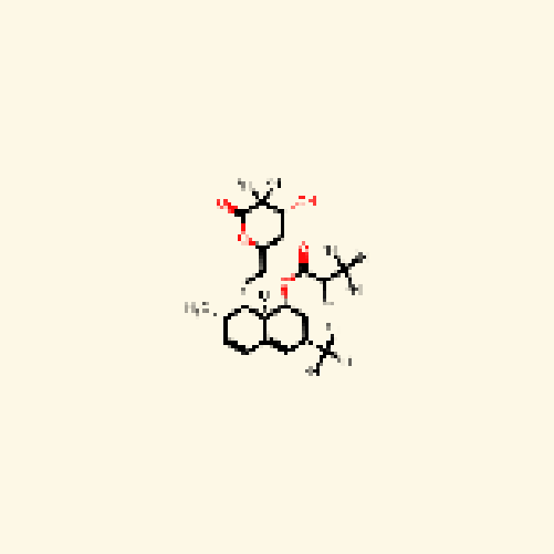 [2H]C([2H])([2H])[C@H]1C=C2C=C[C@H](C)[C@H](CCC3C[C@@H](O)C([2H])([2H])C(=O)O3)[C@H]2[C@@H](OC(=O)[C@H](CC)C([2H])([2H])[2H])C1